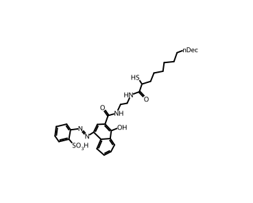 CCCCCCCCCCCCCCCCC(S)C(=O)NCCNC(=O)c1cc(N=Nc2ccccc2S(=O)(=O)O)c2ccccc2c1O